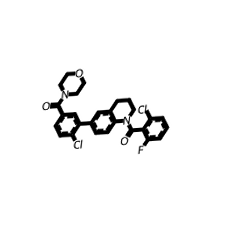 O=C(c1ccc(Cl)c(-c2ccc3c(c2)CCCN3C(=O)c2c(F)cccc2Cl)c1)N1CCOCC1